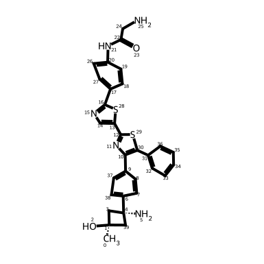 C[C@]1(O)C[C@@](N)(c2ccc(-c3nc(-c4cnc(-c5ccc(NC(=O)CN)cc5)s4)sc3-c3ccccc3)cc2)C1